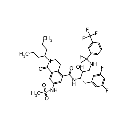 CCCC(CCC)N1CCc2c(C(=O)N[C@@H](Cc3cc(F)cc(F)c3)[C@@H](O)CNC3(c4cccc(C(F)(F)F)c4)CC3)cc(NS(C)(=O)=O)cc2C1=O